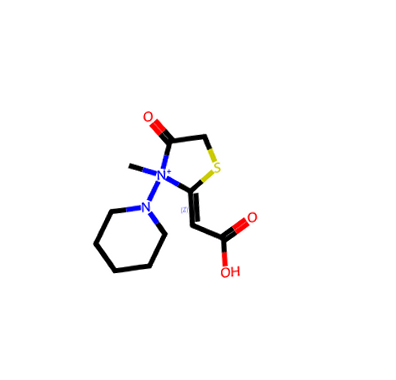 C[N+]1(N2CCCCC2)C(=O)CS/C1=C\C(=O)O